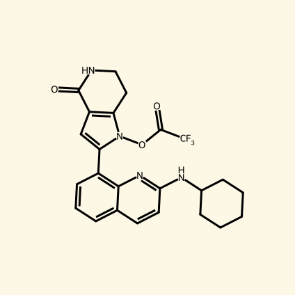 O=C1NCCc2c1cc(-c1cccc3ccc(NC4CCCCC4)nc13)n2OC(=O)C(F)(F)F